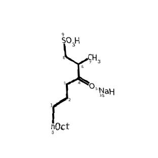 CCCCCCCCCCCC(=O)C(C)CS(=O)(=O)O.[NaH]